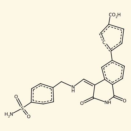 NS(=O)(=O)c1ccc(CNC=C2C(=O)NC(=O)c3ccc(-c4ccc(C(=O)O)cc4)cc32)cc1